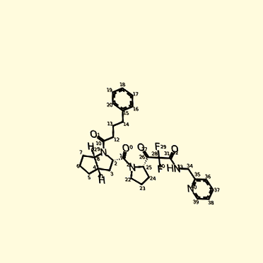 O=C([C@@H]1C[C@@H]2CCC[C@@H]2N1C(=O)CCCc1ccccc1)N1CCC[C@H]1C(=O)C(F)(F)C(=O)NCc1ccccn1